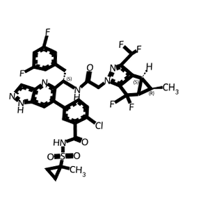 C[C@H]1C2[C@H]1c1c(C(F)F)nn(CC(=O)N[C@@H](Cc3cc(F)cc(F)c3)c3nc4cn[nH]c4cc3-c3ccc(Cl)c(C(=O)NS(=O)(=O)C4(C)CC4)c3)c1C2(F)F